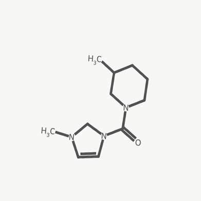 CC1CCCN(C(=O)N2C=CN(C)C2)C1